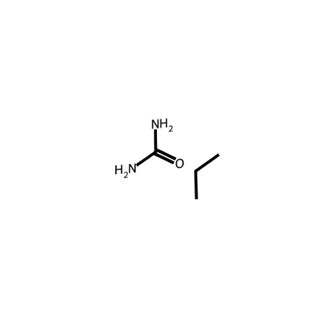 CCC.NC(N)=O